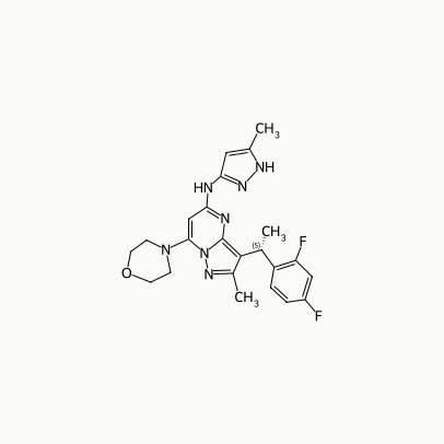 Cc1cc(Nc2cc(N3CCOCC3)n3nc(C)c([C@H](C)c4ccc(F)cc4F)c3n2)n[nH]1